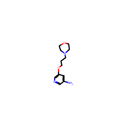 Nc1cncc(OCCCN2CCOCC2)c1